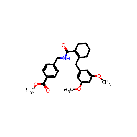 COC(=O)c1ccc(CNC(=O)C2=C(Cc3cc(OC)cc(OC)c3)CCCC2)cc1